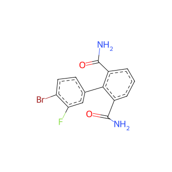 NC(=O)c1cccc(C(N)=O)c1-c1ccc(Br)c(F)c1